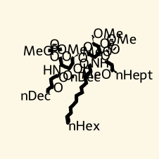 CCCCCC/C=C\CCCCCCCCCC(=O)N[C@H]1[C@H](OC[C@H]2O[C@H](OP(=O)(OC)OC)[C@H](NC(=O)CC(=O)CCCCCCCCCCC)[C@@H](OCCCCCCCCCC)[C@@H]2O)O[C@H](COC)[C@@H](OP(=O)(OC)OC)[C@@H]1OCC[C@@H](CCCCCCC)OC